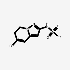 CCS(=O)(=O)Nc1cc2n(n1)CCC(C(C)C)=C2